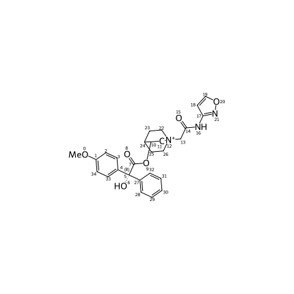 COc1ccc([C@@](O)(C(=O)OC2C[N+]3(CC(=O)Nc4ccon4)CCC2CC3)c2ccccc2)cc1